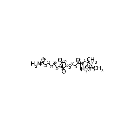 CC(C)CC(C)(C)CNC(=O)CCSC1CC(=O)N(CCCCCC(N)=O)C1=O